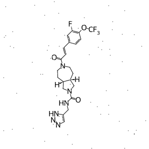 O=C(/C=C/c1ccc(OC(F)(F)F)c(F)c1)N1CC[C@@H]2CN(C(=O)NCc3cnn[nH]3)C[C@@H]2CC1